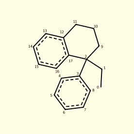 CCC1(c2ccccc2)CCCc2ccccc21